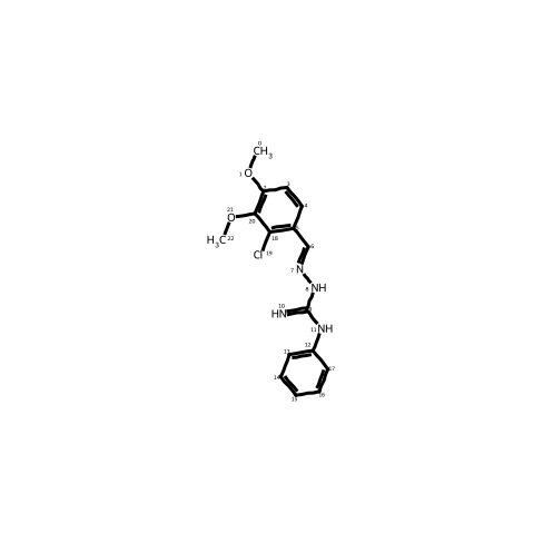 COc1ccc(C=NNC(=N)Nc2ccccc2)c(Cl)c1OC